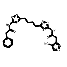 O=C(Cc1ccccc1)Nc1nnc(CCCCc2nnc(NC(=O)Cc3nocc3O)s2)s1